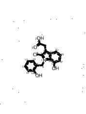 O=C(O)Cc1c(Cl)n(Cc2ccccc2O)c2c(O)cccc12